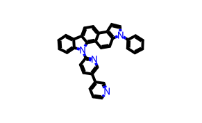 c1ccc(-n2ccc3c4ccc5c6ccccc6n(-c6ccc(-c7cccnc7)cn6)c5c4ccc32)cc1